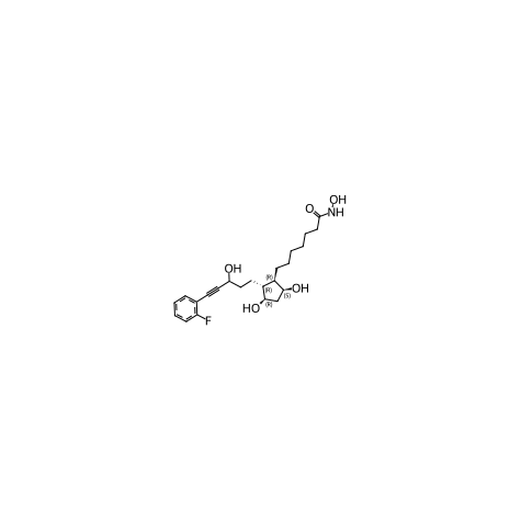 O=C(CCCCCC[C@@H]1[C@@H](CCC(O)C#Cc2ccccc2F)[C@H](O)C[C@@H]1O)NO